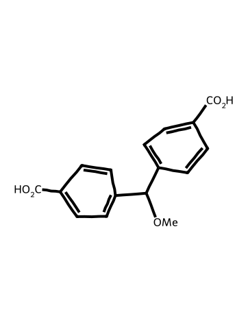 COC(c1ccc(C(=O)O)cc1)c1ccc(C(=O)O)cc1